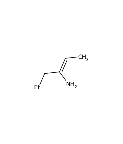 CC=C(N)CCC